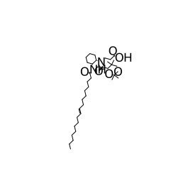 CCCCCCCCC=CCCCCCCCC(=O)N[C@H]1CCCC[C@@H]1N(CCC(=O)O)C(=O)C1OC(C)(C)OCC1(C)C